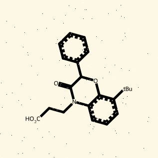 CC(C)(C)c1cccc2c1OC(c1ccccc1)C(=O)N2CCC(=O)O